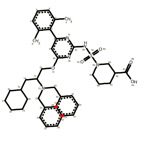 Cc1cccc(C)c1-c1cc(OCC(CC2CCCCC2)N(Cc2ccccc2)Cc2ccccc2)nc(NS(=O)(=O)N2CCCC(C(=O)O)C2)n1